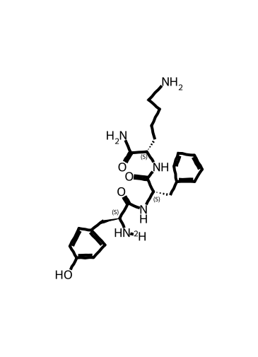 [2H]N[C@@H](Cc1ccc(O)cc1)C(=O)N[C@@H](Cc1ccccc1)C(=O)N[C@@H](CCCCN)C(N)=O